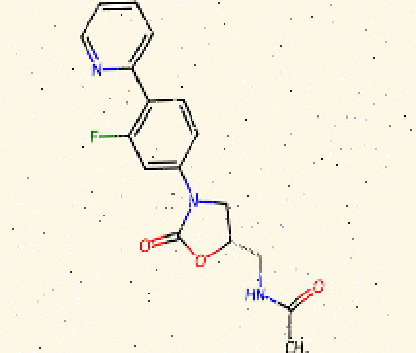 CC(=O)NC[C@H]1CN(c2ccc(-c3ccccn3)c(F)c2)C(=O)O1